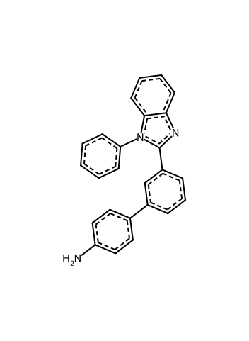 Nc1ccc(-c2cccc(-c3nc4ccccc4n3-c3ccccc3)c2)cc1